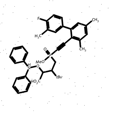 COP(=O)(C#Cc1c(C)cc(C)cc1-c1ccc(F)c(C)c1)CC(C(O[SiH](c1ccccc1)c1ccccc1)C(=O)O)C(C)(C)C